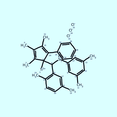 CC1=C(C)[C]([Ti+3])(C([SiH2]c2cc(C)cc(C)c2)c2cc(C)ccc2C)C(c2ccccc2)=C1C.[Cl-].[Cl-].[Cl-]